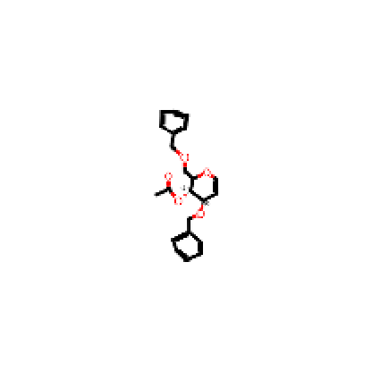 CC(=O)O[C@@H]1C(COCc2ccccc2)OC=C[C@H]1OCc1ccccc1